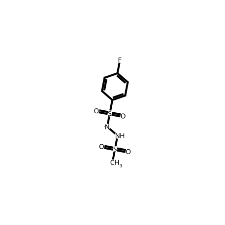 CS(=O)(=O)N[N]S(=O)(=O)c1ccc(F)cc1